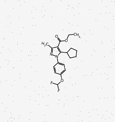 CCOC(=O)c1c(C)nn(-c2ccc(OC(F)F)cc2)c1C1CCCC1